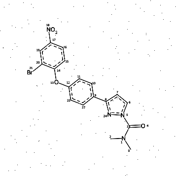 CN(C)C(=O)n1ccc(-c2ccc(Oc3ccc([N+](=O)[O-])cc3Br)cc2)n1